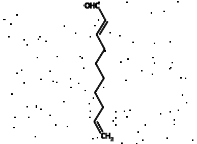 C=CCCCCCC=C[C]=O